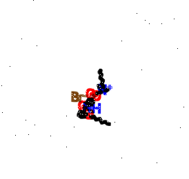 CCCCCCCCOc1ccccc1C(=O)Nc1ccc(C(=O)OCC[N+](CC)(CC)CCCCCCC)cc1.[Br-]